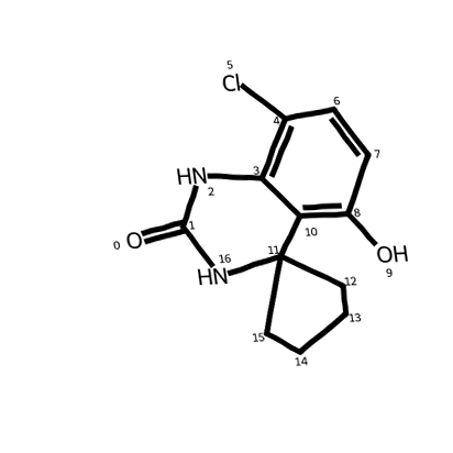 O=C1Nc2c(Cl)ccc(O)c2C2(CCCC2)N1